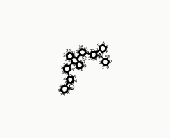 c1ccc(-n2c3ccccc3c3cc(-c4cccc(-c5c6ccccc6c(-c6cccc(-c7ccc8oc9ccccc9c8c7)c6)c6ccccc56)c4)ccc32)cc1